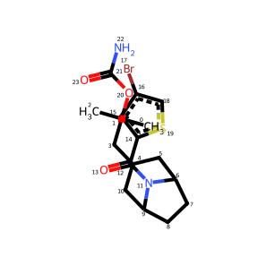 CC(C)(CC1CC2CCC(C1)N2C(=O)c1cc(Br)cs1)OC(N)=O